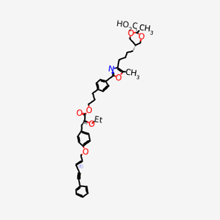 CCO[C@@H](Cc1ccc(OC/C=C/C#Cc2ccccc2)cc1)C(=O)OCCCc1ccc(-c2nc(CCCC[C@H]3CO[C@@](C)(C(=O)O)OC3)c(C)o2)cc1